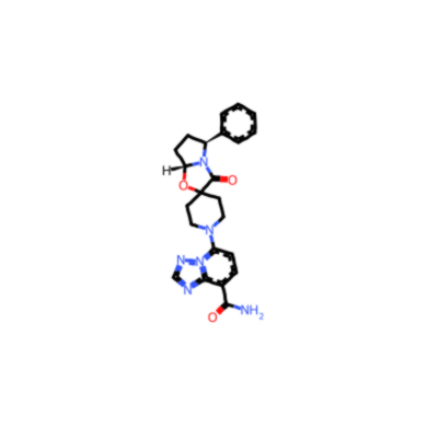 NC(=O)c1ccc(N2CCC3(CC2)O[C@@H]2CC[C@@H](c4ccccc4)N2C3=O)n2ncnc12